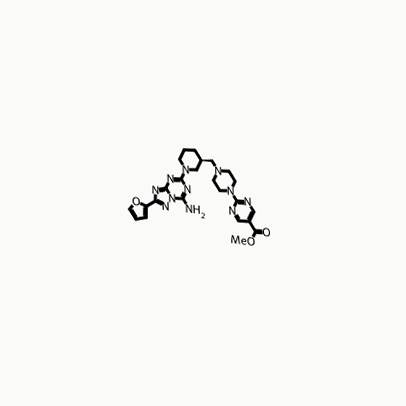 COC(=O)c1cnc(N2CCN(C[C@@H]3CCCN(c4nc(N)n5nc(-c6ccco6)nc5n4)C3)CC2)nc1